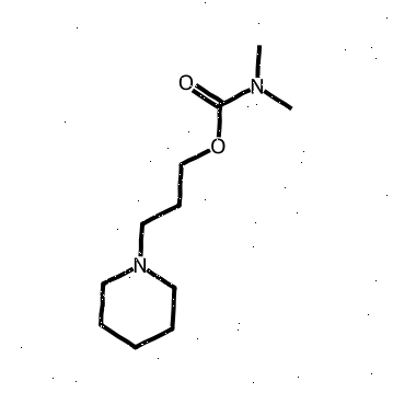 CN(C)C(=O)OCCCN1CCCCC1